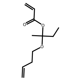 C=CCCOC(C)(CC)OC(=O)C=C